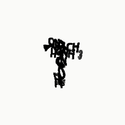 CC(NC(=O)c1ccc(OCC(F)(F)C(F)F)cn1)c1ccnc(NC(=O)C2CC2)c1